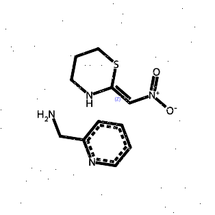 NCc1ccccn1.O=[N+]([O-])/C=C1/NCCCS1